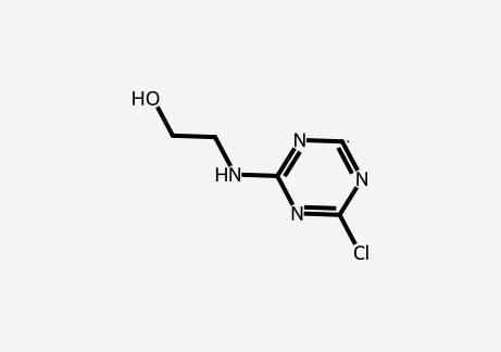 OCCNc1n[c]nc(Cl)n1